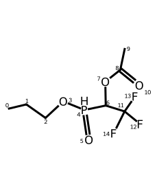 CCCO[PH](=O)C(OC(C)=O)C(F)(F)F